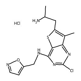 Cc1c(CC(C)N)sc2c(NCc3ccno3)nc(Cl)nc12.Cl